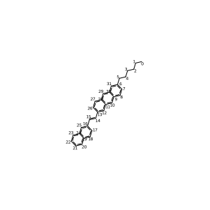 CCCCCCc1ccc2cc3cc(C=Cc4ccc5ccccc5c4)ccc3cc2c1